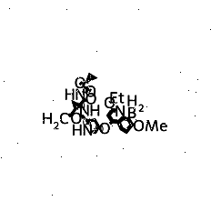 Bc1c(OC)ccc2c(O[C@H]3CN[C@H](C(=O)N[C@]4(C(=O)NS(=O)(=O)C5CC5)CC4C=C)C3)cc(OCC)nc12